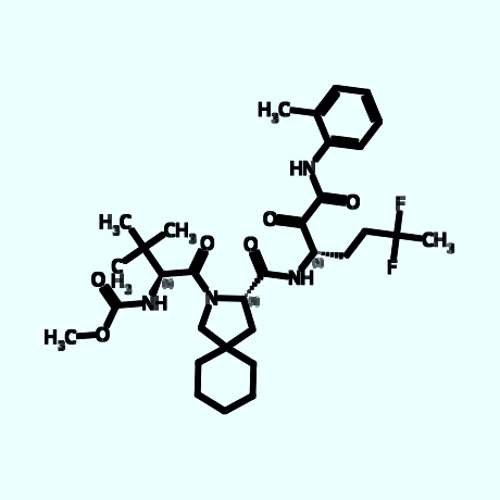 COC(=O)N[C@H](C(=O)N1CC2(CCCCC2)C[C@H]1C(=O)N[C@@H](CCC(C)(F)F)C(=O)C(=O)Nc1ccccc1C)C(C)(C)C